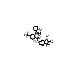 CN(C)[C@H]1CCCC[C@@H]1Nc1cc(C(F)(F)F)ccc1C(=O)Nc1ccc2c(c1)NC(=O)C2(C)C